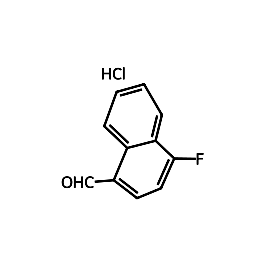 Cl.O=Cc1ccc(F)c2ccccc12